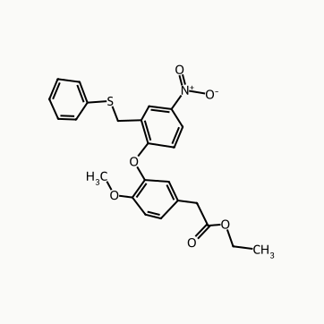 CCOC(=O)Cc1ccc(OC)c(Oc2ccc([N+](=O)[O-])cc2CSc2ccccc2)c1